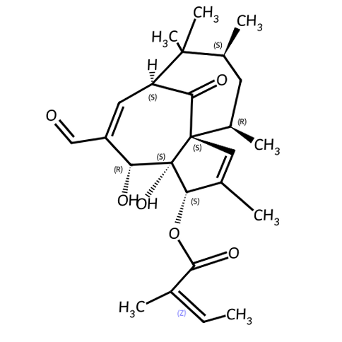 C/C=C(/C)C(=O)O[C@H]1C(C)=C[C@]23C(=O)[C@@H](C=C(C=O)[C@@H](O)[C@]12O)C(C)(C)[C@@H](C)C[C@H]3C